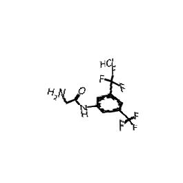 Cl.NCC(=O)Nc1cc(C(F)(F)F)cc(C(F)(F)F)c1